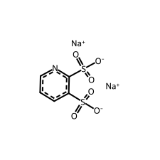 O=S(=O)([O-])c1cccnc1S(=O)(=O)[O-].[Na+].[Na+]